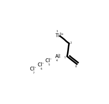 C=C[CH2][Ti+3].[Al].[Cl-].[Cl-].[Cl-]